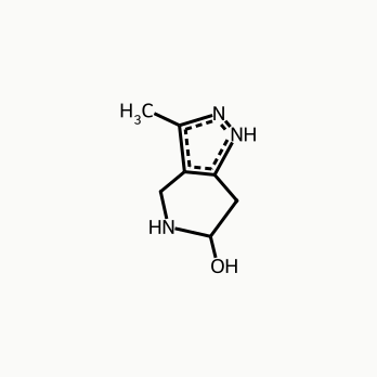 Cc1n[nH]c2c1CNC(O)C2